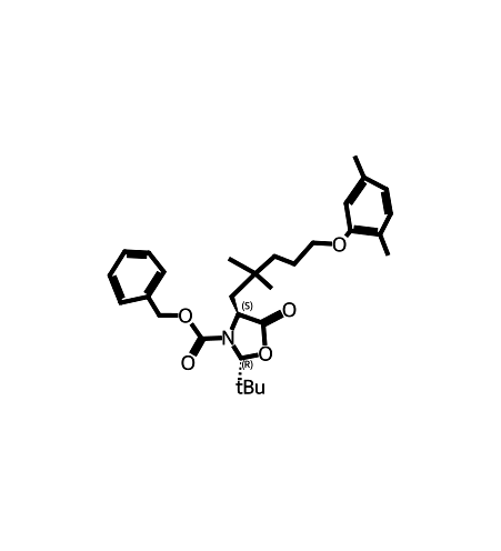 Cc1ccc(C)c(OCCCC(C)(C)C[C@H]2C(=O)O[C@H](C(C)(C)C)N2C(=O)OCc2ccccc2)c1